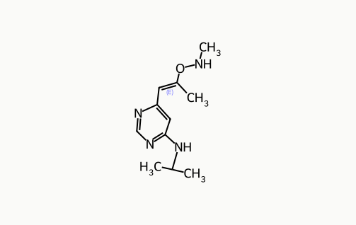 CNO/C(C)=C/c1cc(NC(C)C)ncn1